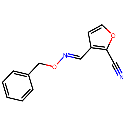 N#Cc1occc1/C=N/OCc1ccccc1